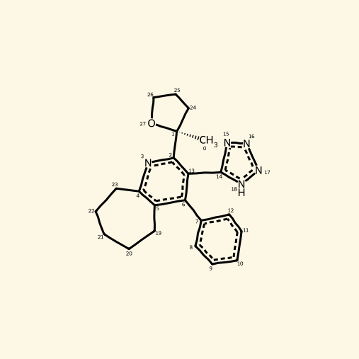 C[C@@]1(c2nc3c(c(-c4ccccc4)c2-c2nnn[nH]2)CCCCC3)CCCO1